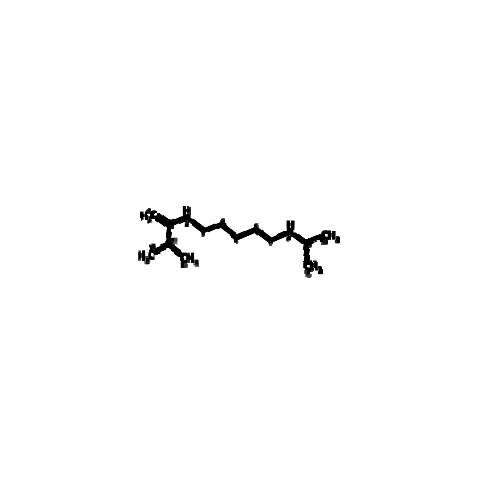 C=C(NCCCCCNC(C)C)C(C)C